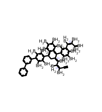 B=C(B)/C(B)=C(/B)c1c(B)c(B)c(B)c(C2=c3c(B)c(B)c(B)c(B)c3=C(c3c(B)c(B)c(-c4cccc(-c5ccccc5)c4)c(B)c3B)C/C2=C(B)\C(B)=C(\B)C#C)c1C